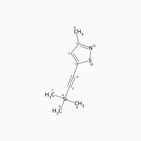 Cc1cc(C#C[Si](C)(C)C)sn1